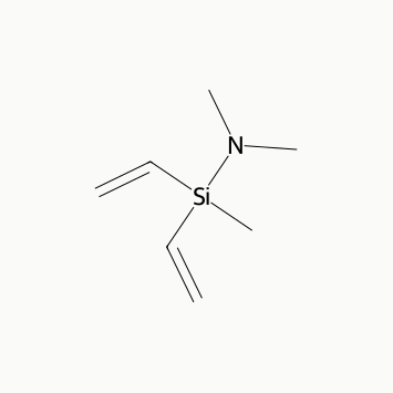 C=C[Si](C)(C=C)N(C)C